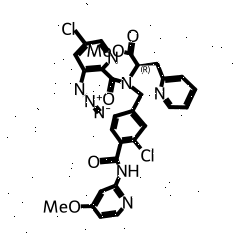 COC(=O)[C@@H](Cc1ccccn1)N(Cc1ccc(C(=O)Nc2cc(OC)ccn2)c(Cl)c1)C(=O)c1ncc(Cl)cc1N=[N+]=[N-]